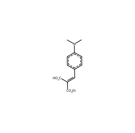 CCOC(=O)C(=Cc1ccc(N(C)C)cc1)C(=O)O